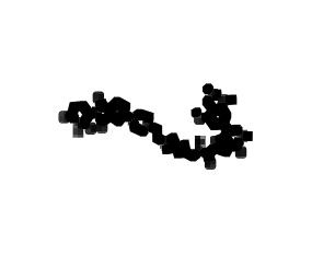 COc1cc(-c2cn(C)c(=O)c3cc(C(=O)NCC4CC5(C4)CN(CCN4CCN(c6ccc7c(c6)C(=O)N(C6CCC(=O)NC6=O)C7=O)CC4)C5)sc23)cc(OC)c1CN(C)C